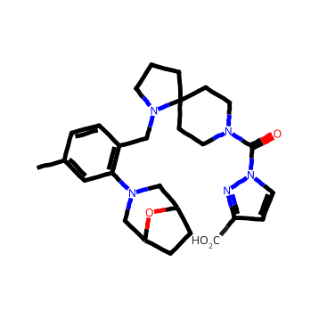 Cc1ccc(CN2CCCC23CCN(C(=O)n2ccc(C(=O)O)n2)CC3)c(N2CC3CCC(C2)O3)c1